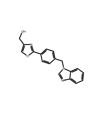 OCc1coc(-c2ccc(Cn3cnc4ccccc43)cc2)n1